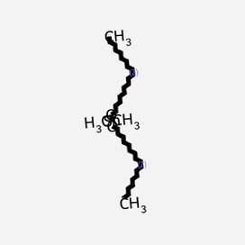 CCCCCCCC/C=C\CCCCCCCC[O][Sn]([CH3])([CH3])[O]CCCCCCCC/C=C\CCCCCCCC